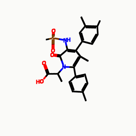 Cc1ccc(-c2c(C)c(-c3ccc(C)c(C)c3)c(NS(C)(=O)=O)c(=O)n2C(C)C(=O)O)cc1